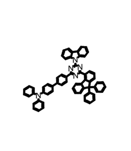 c1ccc(N(c2ccccc2)c2ccc(-c3ccc(-c4nc(-c5cccc6c5-c5ccccc5C6(c5ccccc5)c5ccccc5)nc(-n5c6ccccc6c6ccccc65)n4)cc3)cc2)cc1